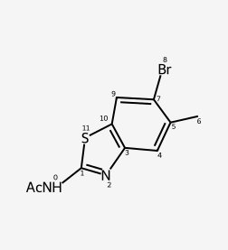 CC(=O)Nc1nc2cc(C)c(Br)cc2s1